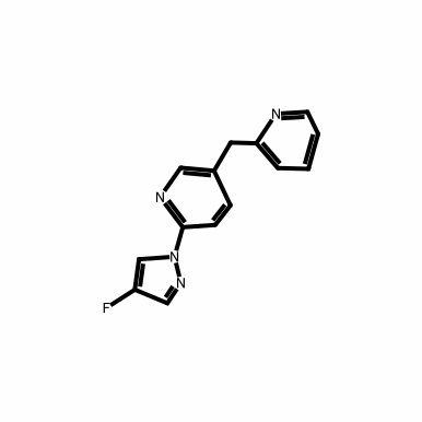 Fc1cnn(-c2ccc(Cc3ccccn3)cn2)c1